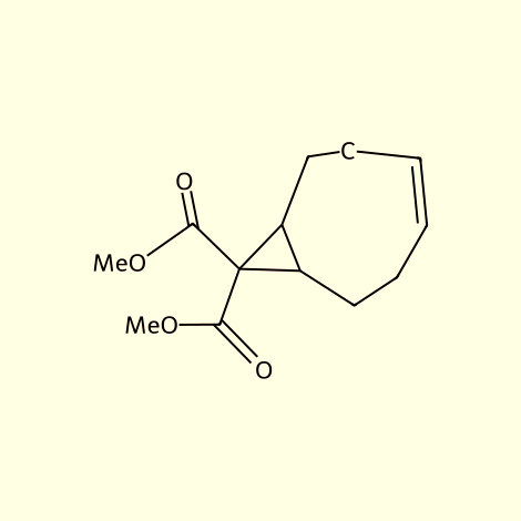 COC(=O)C1(C(=O)OC)C2CCC=CCCC21